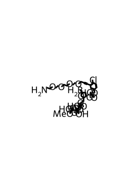 BC1CC(OP(=O)(O)Oc2ccc(Cl)c(C#CCOCCOCCOCCOCCN)c2)C(COP(=O)(O)OP(=O)(O)OP(=O)(O)OC)O1